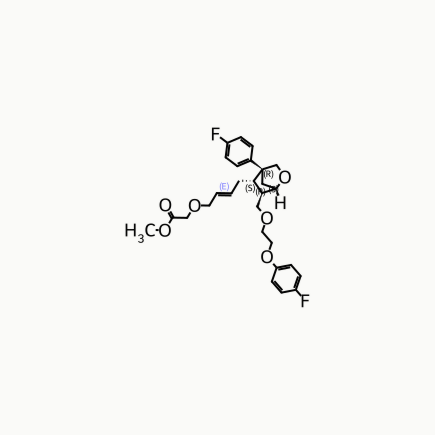 COC(=O)COC/C=C/C[C@H]1[C@H](COCCOc2ccc(F)cc2)[C@@H]2C[C@@]1(c1ccc(F)cc1)CO2